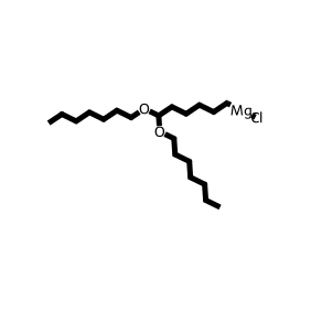 CCCCCCCOC(CCCC[CH2][Mg][Cl])OCCCCCCC